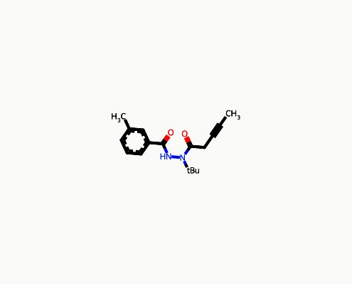 CC#CCC(=O)N(NC(=O)c1cccc(C)c1)C(C)(C)C